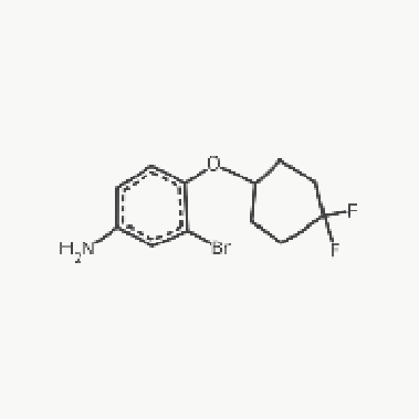 Nc1ccc(OC2CCC(F)(F)CC2)c(Br)c1